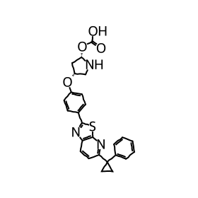 O=C(O)O[C@H]1C[C@@H](Oc2ccc(-c3nc4ccc(C5(c6ccccc6)CC5)nc4s3)cc2)CN1